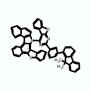 CC1(C)c2ccccc2-c2cccc(-c3cccc(-c4nc(-n5c6ccc7ccccc7c6c6c7ccccc7c7sc8ccccc8c7c65)c5c(n4)oc4ccccc45)c3)c21